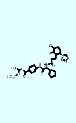 CCOC(=O)OC(C)OC(=O)c1ccc(NC(=O)[C@@H](NC(=O)/C=C/c2c(-n3cnnn3)ccc(Cl)c2F)c2ccccc2)cc1